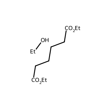 CCO.CCOC(=O)CCCCC(=O)OCC